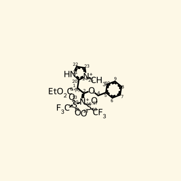 CCOC(=O)[C@@H](C(OCc1ccccc1)=[N+](S(=O)(=O)C(F)(F)F)S(=O)(=O)C(F)(F)F)c1[nH]cc[n+]1C